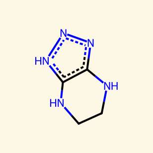 C1CNc2[nH]nnc2N1